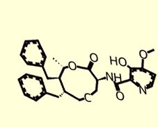 COc1ccnc(C(=O)N[C@H]2CCC[C@H](Cc3ccccc3)[C@@H](Cc3ccccc3)[C@H](C)OC2=O)c1O